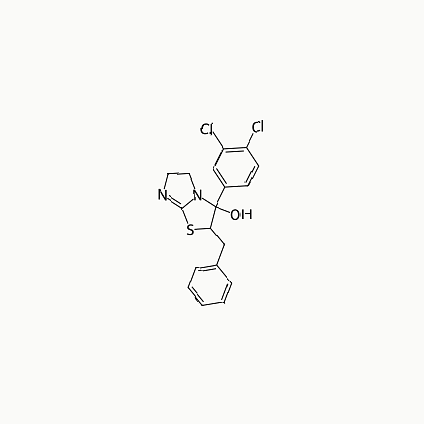 OC1(c2ccc(Cl)c(Cl)c2)C(Cc2ccccc2)SC2=NCCN21